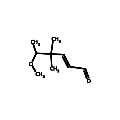 COC(C)C(C)(C)C=CC=O